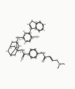 CN(C)C/C=C/C(=O)Nc1ccc(C(=O)NC23CC4CC(C2)CC(Nc2ncc(Cl)c(C5=CCc6ccccc65)n2)(C4)C3)cc1